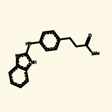 CSC(=O)CCc1ccc(Nc2nc3ccccc3[nH]2)cc1